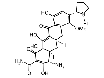 CCN1CCC[C@H]1c1cc(O)c2c(c1OC)C[C@H]1C[C@H]3[C@H](N)C(O)=C(C(N)=O)C(=O)[C@@]3(O)C(O)=C1C2=O